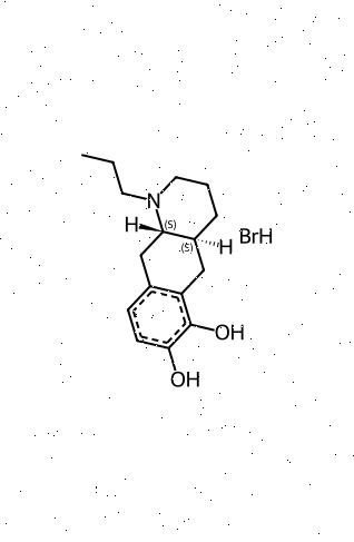 Br.CCCN1CCC[C@H]2Cc3c(ccc(O)c3O)C[C@@H]21